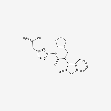 C=C(O)Cn1ccc(NC(=O)C(CC2CCCC2)N2C(=O)Cc3ccccc32)n1